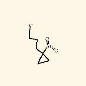 O=[SH](=O)C1(CCCCl)CC1